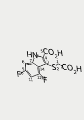 O=C(O)CSc1c(C(=O)O)[nH]c2cc(F)cc(F)c12